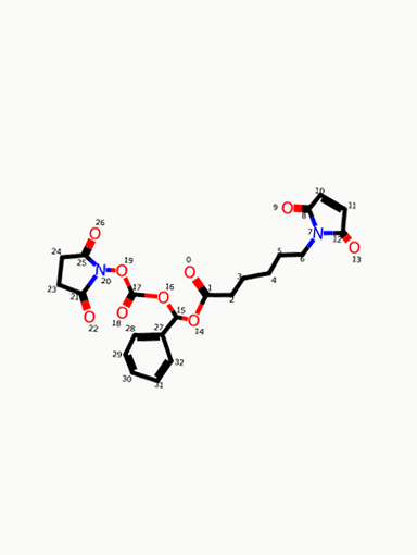 O=C(CCCCCN1C(=O)C=CC1=O)OC(OC(=O)ON1C(=O)CCC1=O)c1ccccc1